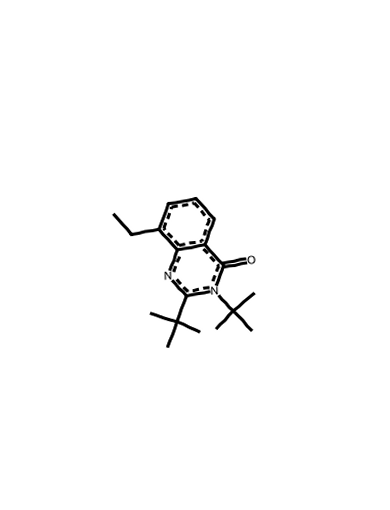 CCc1cccc2c(=O)n(C(C)(C)C)c(C(C)(C)C)nc12